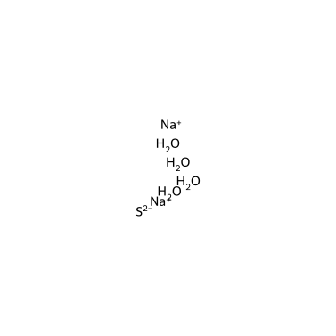 O.O.O.O.[Na+].[Na+].[S-2]